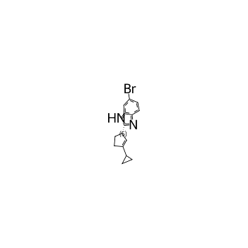 Brc1ccc2nc([C@@H]3C=C(C4CC4)CC3)[nH]c2c1